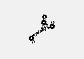 COc1cccc(COCCOCc2coc(N(Cc3cccc(OC)c3)Cc3cccc(N4CCCC4)c3)n2)c1